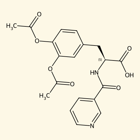 CC(=O)Oc1ccc(C[C@H](NC(=O)c2cccnc2)C(=O)O)cc1OC(C)=O